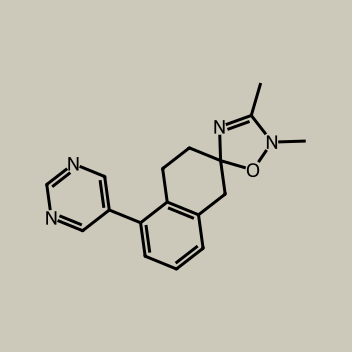 CC1=NC2(CCc3c(cccc3-c3cncnc3)C2)ON1C